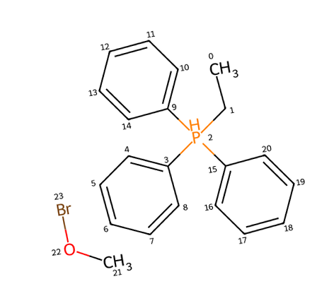 CC[PH](c1ccccc1)(c1ccccc1)c1ccccc1.COBr